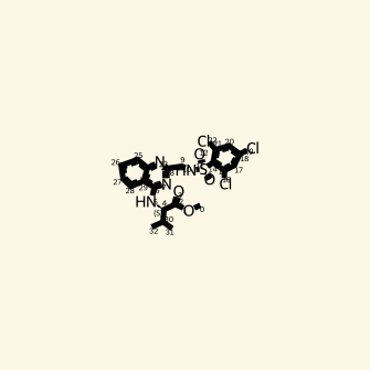 COC(=O)[C@@H](Nc1nc(CNS(=O)(=O)c2c(Cl)cc(Cl)cc2Cl)nc2ccccc12)C(C)C